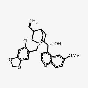 C=CC1C[N+]2(Cc3cc4c(cc3Cl)OCO4)CCC1CC2[C@H](O)c1ccnc2ccc(OC)cc12